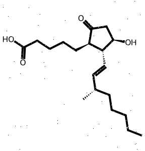 CCCCC[C@H](C)/C=C/[C@H]1[C@H](O)CC(=O)[C@@H]1CCCCC(=O)O